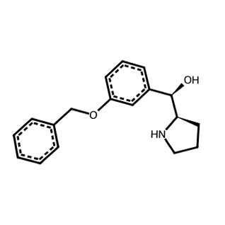 O[C@H](c1cccc(OCc2ccccc2)c1)[C@H]1CCCN1